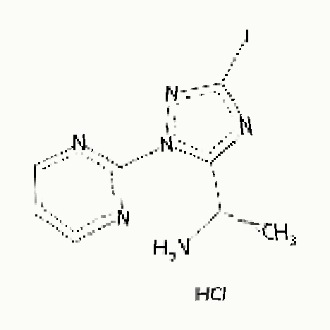 C[C@H](N)c1nc(I)nn1-c1ncccn1.Cl